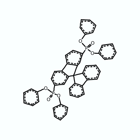 O=P(Oc1ccccc1)(Oc1ccccc1)c1ccc2c(c1)C1(c3ccccc3-c3ccccc31)c1cc(P(=O)(Oc3ccccc3)Oc3ccccc3)ccc1-2